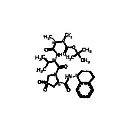 CC(C)[C@H](NC(=O)[C@H](C)N(C)C(=O)OC(C)(C)C)C(=O)N1CS(=O)(=O)C[C@H]1C(=O)N[C@@H]1CCCc2ccccc21